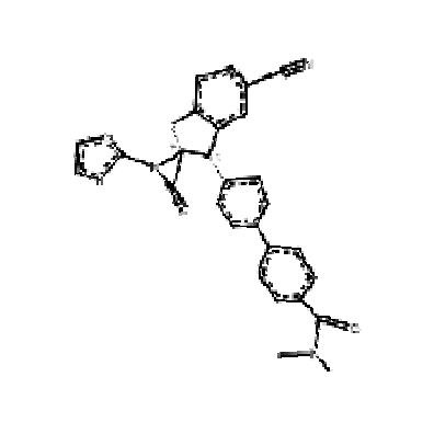 CN(C)C(=O)c1ccc(-c2ccc([C@H]3c4cc(C#N)ccc4C[C@@]34C(=O)N4c3nccs3)cc2)cc1